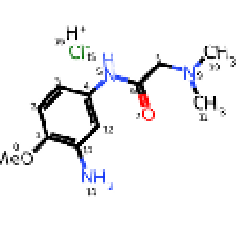 COc1ccc(NC(=O)CN(C)C)cc1N.[Cl-].[H+]